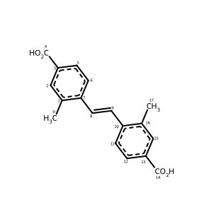 Cc1cc(C(=O)O)ccc1C=Cc1ccc(C(=O)O)cc1C